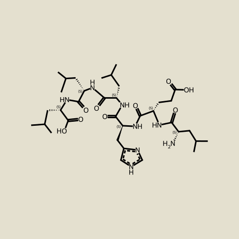 CC(C)C[C@H](NC(=O)[C@H](CC(C)C)NC(=O)[C@H](CC(C)C)NC(=O)[C@H](Cc1c[nH]cn1)NC(=O)[C@H](CCC(=O)O)NC(=O)[C@@H](N)CC(C)C)C(=O)O